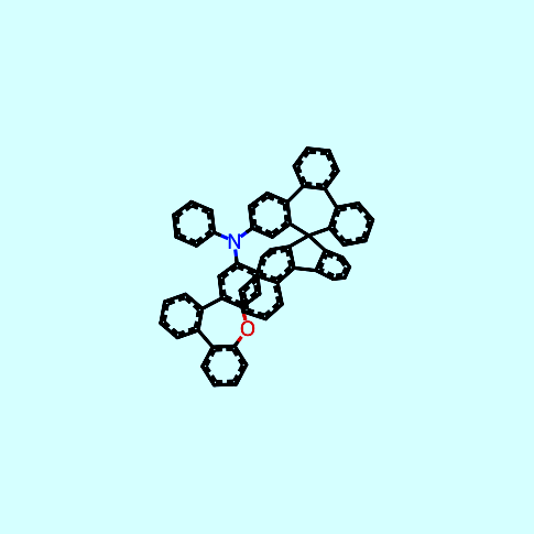 c1ccc(N(c2ccc3c(c2)-c2ccccc2-c2ccccc2O3)c2ccc3c(c2)C2(c4ccccc4-c4ccccc4-3)c3ccccc3-c3c2ccc2ccccc32)cc1